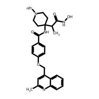 CCCN1CCC(NC(=O)c2ccc(OCc3cc(C)nc4ccccc34)cc2)(C(C)C(=O)NO)CC1